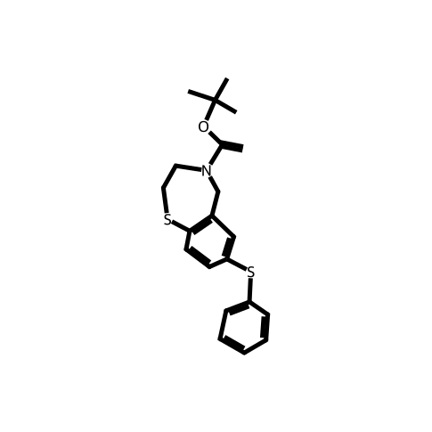 C=C(OC(C)(C)C)N1CCSc2ccc(Sc3ccccc3)cc2C1